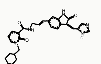 O=C1Nc2cc(/C=C/CNC(=O)c3cccn(CC4CCCCC4)c3=O)ccc2C1=Cc1cnc[nH]1